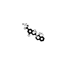 COC(=O)c1cc(Cl)c(CC(=O)N2CCc3ccccc3C2C)c(Cl)c1